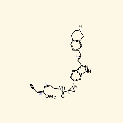 C#C/C=C(\C=C/CNC(=O)[C@@H]1C[C@H]1c1ccc2c(/C=C/c3ccc4c(c3)CNCC4)n[nH]c2c1)OC